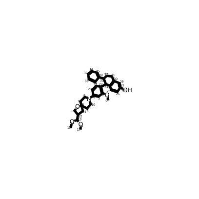 COc1cc(N2CCC3(CC2)CC(C(OC)OC)CO3)ccc1C1c2ccc(O)cc2CCC1c1ccccc1